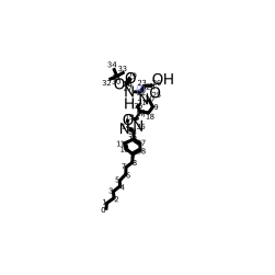 CCCCCCCCCc1ccc(-c2noc([C@@H]3CCCN(/C(=C\C(=O)O)NC(=O)OC(C)(C)C)C3)n2)cc1